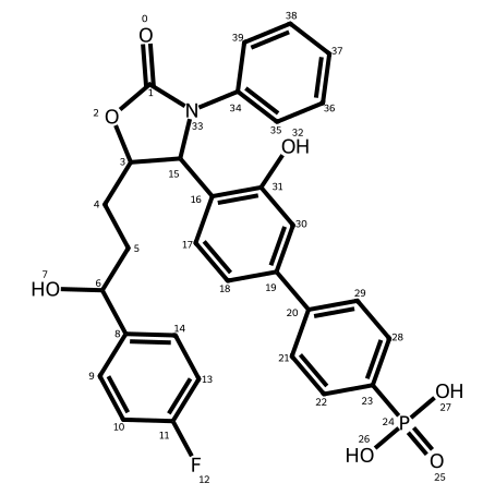 O=C1OC(CCC(O)c2ccc(F)cc2)C(c2ccc(-c3ccc(P(=O)(O)O)cc3)cc2O)N1c1ccccc1